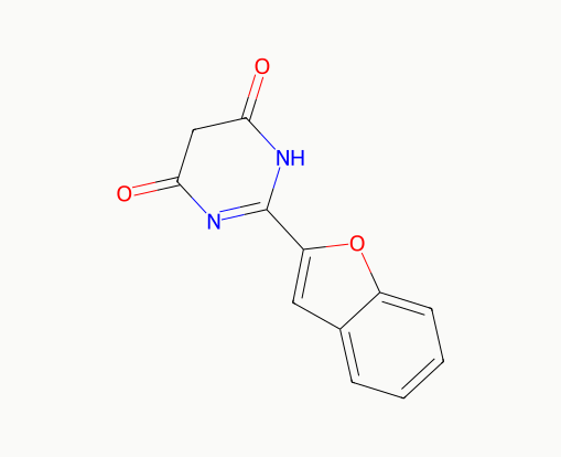 O=C1CC(=O)NC(c2cc3ccccc3o2)=N1